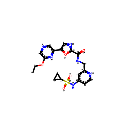 CCOc1cncc(-c2cnc(C(=O)NCc3cc(NS(=O)(=O)C4CC4)ccn3)o2)n1